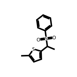 Cc1ccc(C(C)S(=O)(=O)c2ccccc2)s1